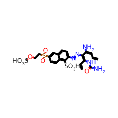 C=C/C=C(/N)C(/N=N/c1ccc2cc(S(=O)(=O)CCOS(=O)(=O)O)ccc2c1S(=O)(=O)O)=C(C=C)NC(N)=O